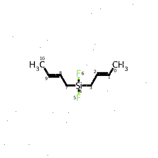 CC=CC[Si](F)(F)CC=CC